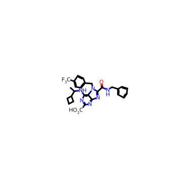 CC(Nc1nc(C(=O)O)nc2nc(C(=O)NCc3ccccc3)n(Cc3ccc(C(F)(F)F)cc3)c12)C1CCC1